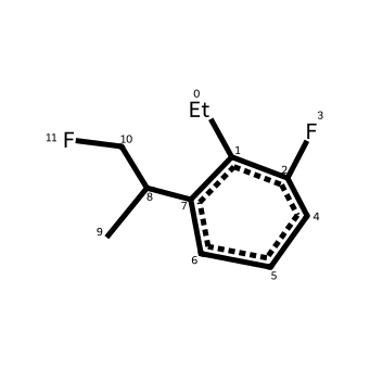 CCc1c(F)cccc1[C](C)CF